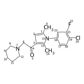 Cc1cc(C(=O)CN2CCCCC2)c(C)n1-c1ccc(Cl)c(F)c1